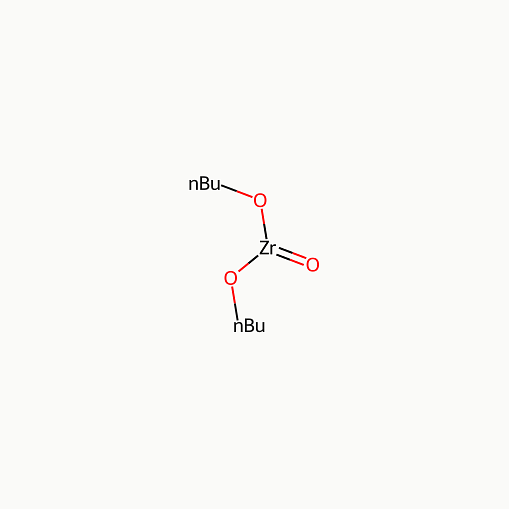 CCCC[O][Zr](=[O])[O]CCCC